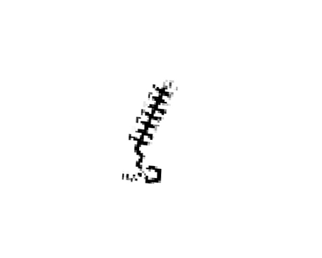 C[N+]1(CCCC(F)(F)C(F)(F)C(F)(F)C(F)(F)C(F)(F)C(F)(F)C(F)(F)C(F)(F)F)CCCC1